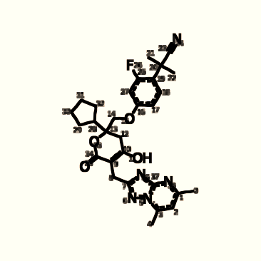 Cc1cc(C)n2nc(CC3=C(O)CC(COc4ccc(C(C)(C)C#N)c(F)c4)(C4CCCC4)OC3=O)nc2n1